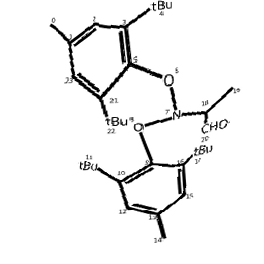 Cc1cc(C(C)(C)C)c(ON(Oc2c(C(C)(C)C)cc(C)cc2C(C)(C)C)C(C)[C]=O)c(C(C)(C)C)c1